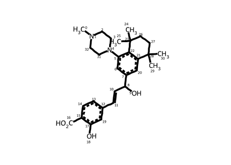 CN1CCN(c2cc(C(O)C=Cc3ccc(C(=O)O)c(O)c3)cc3c2C(C)(C)CCC3(C)C)CC1